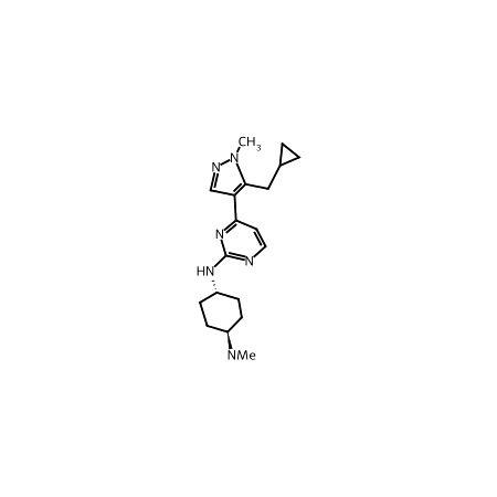 CN[C@H]1CC[C@H](Nc2nccc(-c3cnn(C)c3CC3CC3)n2)CC1